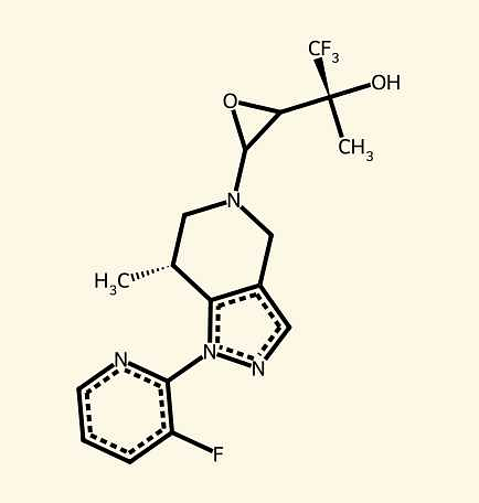 C[C@@H]1CN(C2OC2[C@@](C)(O)C(F)(F)F)Cc2cnn(-c3ncccc3F)c21